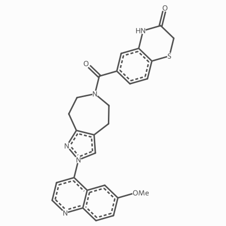 COc1ccc2nccc(-n3cc4c(n3)CCN(C(=O)c3ccc5c(c3)NC(=O)CS5)CC4)c2c1